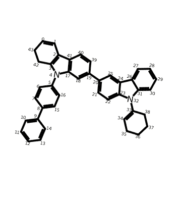 C1=Cc2c(n(-c3ccc(-c4ccccc4)cc3)c3cc(-c4ccc5c(c4)c4ccccc4n5C4=CCCCC4)ccc23)CC1